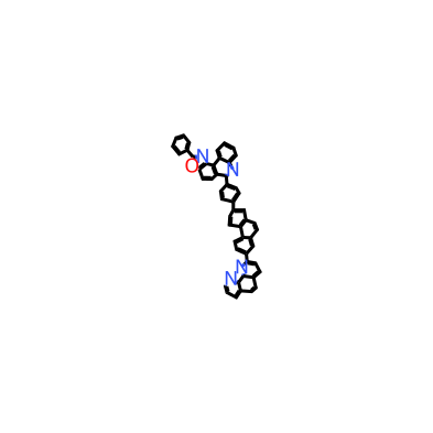 c1ccc(-c2nc3c(ccc4c(-c5ccc(-c6ccc7c(ccc8cc(-c9ccc%10ccc%11cccnc%11c%10n9)ccc87)c6)cc5)nc5ccccc5c43)o2)cc1